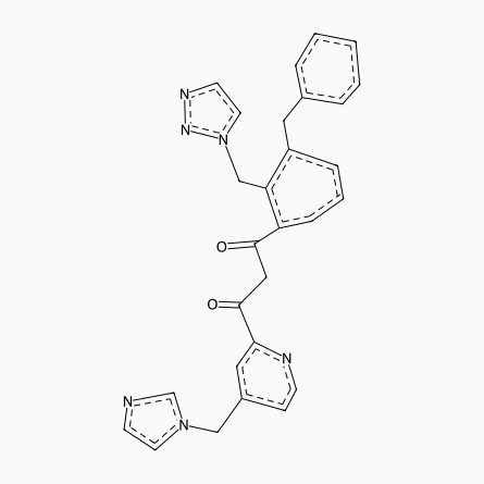 O=C(CC(=O)c1cccc(Cc2ccccc2)c1Cn1ccnn1)c1cc(Cn2ccnc2)ccn1